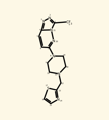 FC(F)(F)c1nnc2ccc(N3CCN(Cc4nccs4)CC3)nn12